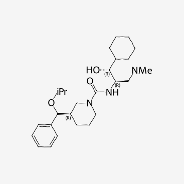 [CH2]C(C)OC(c1ccccc1)[C@@H]1CCCN(C(=O)N[C@H](CNC)[C@H](O)C2CCCCC2)C1